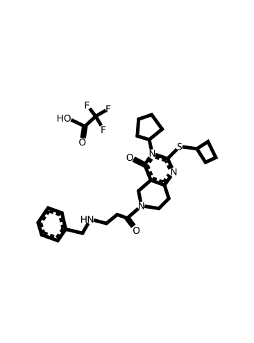 O=C(CCNCc1ccccc1)N1CCc2nc(SC3CCC3)n(C3CCCC3)c(=O)c2C1.O=C(O)C(F)(F)F